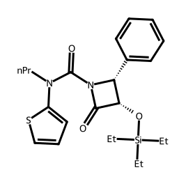 CCCN(C(=O)N1C(=O)[C@@H](O[Si](CC)(CC)CC)[C@H]1c1ccccc1)c1cccs1